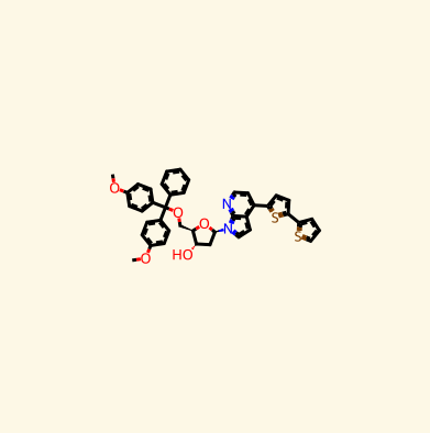 COc1ccc(C(OC[C@H]2O[C@@H](n3ccc4c(-c5ccc(-c6cccs6)s5)ccnc43)C[C@@H]2O)(c2ccccc2)c2ccc(OC)cc2)cc1